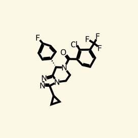 O=C(c1cccc(C(F)(F)F)c1Cl)N1CCn2c(C3CC3)nnc2[C@@H]1c1ccc(F)cc1